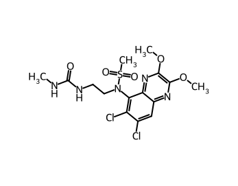 CNC(=O)NCCN(c1c(Cl)c(Cl)cc2nc(OC)c(OC)nc12)S(C)(=O)=O